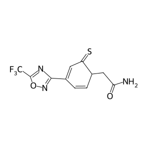 NC(=O)CC1C=CC(c2noc(C(F)(F)F)n2)=CC1=S